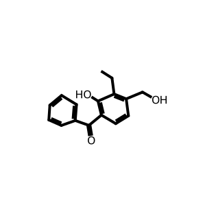 CCc1c(CO)ccc(C(=O)c2ccccc2)c1O